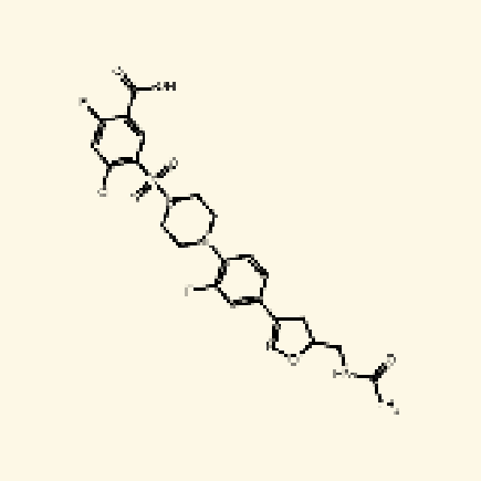 CC(=O)NCC1CC(c2ccc(N3CCN(S(=O)(=O)c4cc(C(=O)O)c(F)cc4Cl)CC3)c(F)c2)=NO1